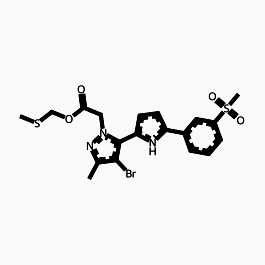 CSCOC(=O)Cn1nc(C)c(Br)c1-c1ccc(-c2cccc(S(C)(=O)=O)c2)[nH]1